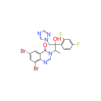 CC(n1cnc2c(Br)cc(Br)cc2c1=O)C(O)(Cn1cncn1)c1ccc(F)cc1F